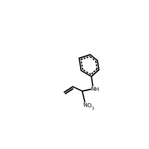 C=CC(Nc1ccccc1)[N+](=O)[O-]